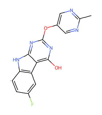 Cc1ncc(Oc2nc(O)c3c(n2)[nH]c2[c]cc(F)cc23)cn1